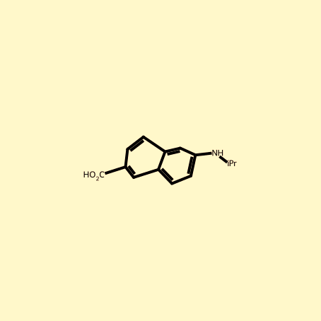 CC(C)Nc1ccc2cc(C(=O)O)ccc2c1